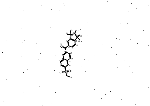 CCS(=O)(=O)c1ccc2cc(C(=O)c3ccc4c(c3)C(C)(C)C(C)C4(C)C)ccc2c1